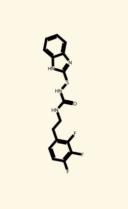 O=C(NCCc1ccc(F)c(F)c1F)NSc1nc2ccccc2[nH]1